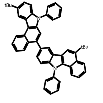 CC(C)(C)c1ccc2c(c1)c1c3ccccc3c(-c3ccc4c(c3)c3cc(C(C)(C)C)c5ccccc5c3n4-c3ccccc3)cc1n2-c1ccccc1